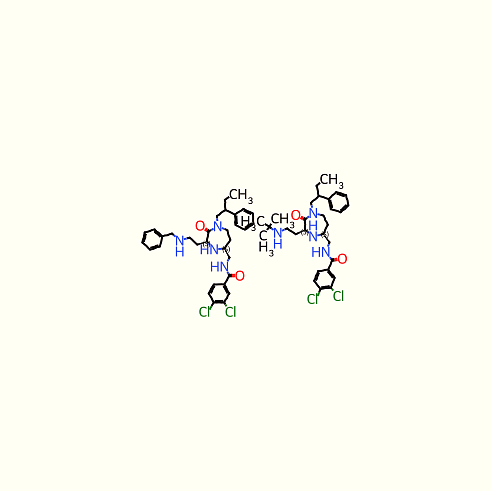 CCC(CN1CC[C@@H](CNC(=O)c2ccc(Cl)c(Cl)c2)N[C@@H](CCNC(C)(C)C)C1=O)c1ccccc1.CCC(CN1CC[C@@H](CNC(=O)c2ccc(Cl)c(Cl)c2)N[C@@H](CCNCc2ccccc2)C1=O)c1ccccc1